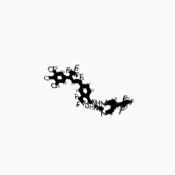 O=C(NNc1ncc(C(F)(F)F)cn1)c1ccc(/C(F)=C/C(c2cc(Cl)c(Cl)c(Cl)c2)C(F)(F)F)cc1C(F)(F)F